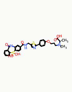 C[C@@H](C(=O)O)N(C)CCCOc1ccc(-c2ncc(CNC(=O)c3ccc4c(c3)NC(=O)c3ccccc3S4(O)O)s2)cc1